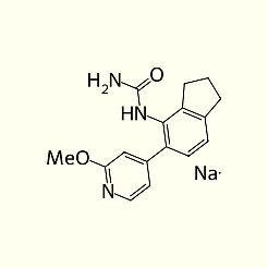 COc1cc(-c2ccc3c(c2NC(N)=O)CCC3)ccn1.[Na]